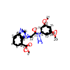 COC(=O)c1cccc2ncn(CC(=O)Nc3cc(OC)cc(OC)c3)c12